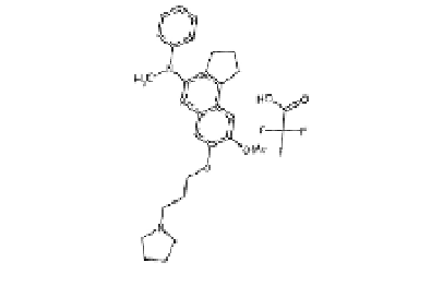 COc1cc2c3c(c(N(C)c4ccccc4)nc2cc1OCCCN1CCCC1)CCC3.O=C(O)C(F)(F)F